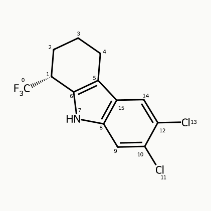 FC(F)(F)[C@@H]1CCCc2c1[nH]c1cc(Cl)c(Cl)cc21